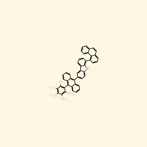 Bc1c(B)c(B)c(-c2c3ccccc3c(-c3ccc4oc5c(-c6cccc7ccc8ccccc8c67)cccc5c4c3)c3ccccc23)c(B)c1B